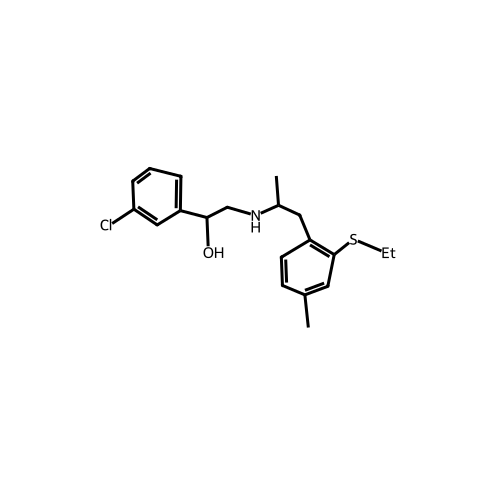 CCSc1cc(C)ccc1CC(C)NCC(O)c1cccc(Cl)c1